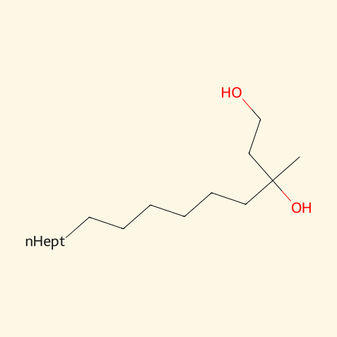 CCCCCCCCCCCCCC(C)(O)CCO